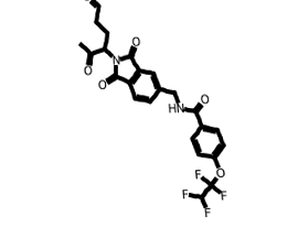 CC(=O)C(CCC=O)N1C(=O)c2ccc(CNC(=O)c3ccc(OC(F)(F)C(F)F)cc3)cc2C1=O